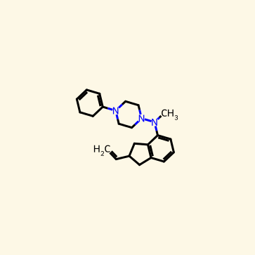 C=CC1Cc2cccc(N(C)N3CCN(C4=CC=CCC4)CC3)c2C1